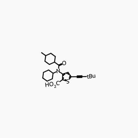 CC1CCC(C(=O)N(c2cc(C#CC(C)(C)C)sc2C(=O)O)C2CCCCC2)CC1